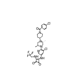 C[C@@H]1CN(c2ncc(Nc3c(NCC(F)(F)F)c(=O)c3=O)cc2Cl)[C@@H](C)CN1C1CCN(C(=O)c2ccc(Cl)cc2)CC1